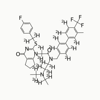 [2H]c1c([2H])c(-c2c([2H])c([2H])c(C(F)(F)F)c(C)c2[2H])c([2H])c([2H])c1CN(C(=O)C([2H])([2H])n1c(SC([2H])([2H])c2ccc(F)cc2)nc(=O)c2c1CCC2)C([2H])([2H])C([2H])([2H])N(C([2H])([2H])C)C([2H])([2H])C